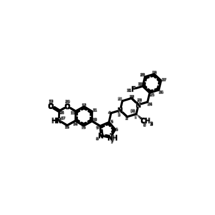 C[C@@H]1CN(Cc2c[nH]nc2-c2ccc3c(c2)CNC(=O)O3)CCN1Cc1ccccc1F